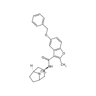 Cc1oc2ccc(OCc3ccccc3)cc2c1C(=O)N[C@H]1CC2CC[C@@H](C1)N2C